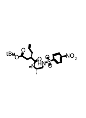 C=CC[C@H](CC(=O)OC(C)(C)C)C(=O)N(C)[C@@H](C)CNS(=O)(=O)c1ccc([N+](=O)[O-])cc1